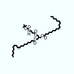 CCCCC/C=C\C/C=C\CCCCCCCC(=O)OCC(COC(=O)CCCCCCC/C=C\C/C=C\CCCCC)COC(=O)CCNC(=O)OC(C)(C)C